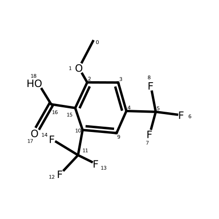 COc1cc(C(F)(F)F)cc(C(F)(F)F)c1C(=O)O